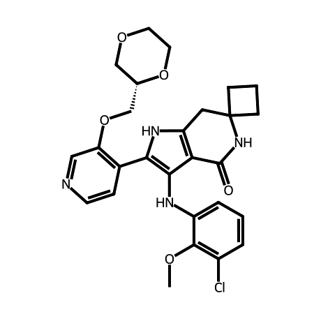 COc1c(Cl)cccc1Nc1c(-c2ccncc2OC[C@@H]2COCCO2)[nH]c2c1C(=O)NC1(CCC1)C2